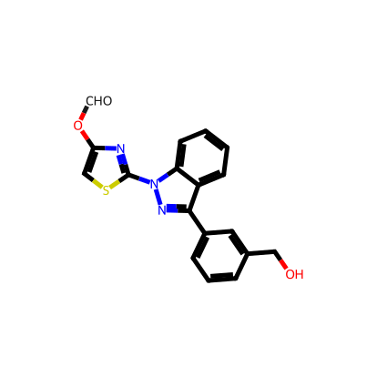 O=COc1csc(-n2nc(-c3cccc(CO)c3)c3ccccc32)n1